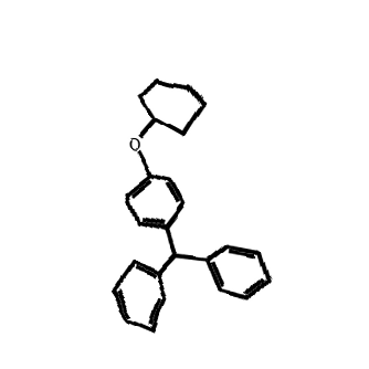 c1ccc(C(c2ccccc2)c2ccc(OC3CCCCC3)cc2)cc1